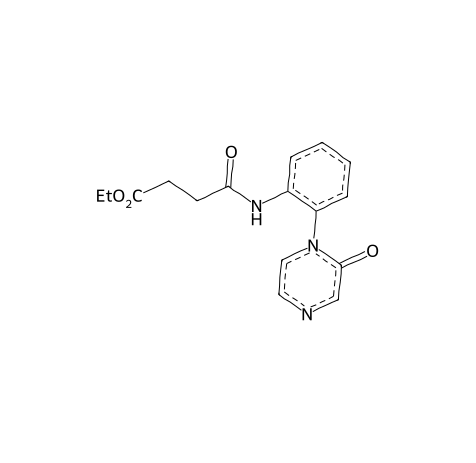 CCOC(=O)CCC(=O)Nc1ccccc1-n1ccncc1=O